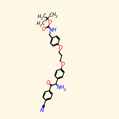 CC(C)(C)OC(=O)NCc1ccc(OCCCOc2ccc(C(N)C(=O)c3ccc(C#N)cc3)cc2)cc1